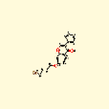 O=c1c(-c2ccccc2)coc2cc(OCCCCBr)ccc12